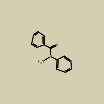 NN(C(=O)c1ccccc1)c1cc[c]cc1